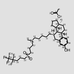 CC(=O)O[C@H]1CC[C@H]2[C@@H]3[C@H](CCCCCN(C)CCCS(=O)(=O)CCCC(F)(F)C(F)(F)F)Cc4cc(O)ccc4[C@H]3CC[C@]12C